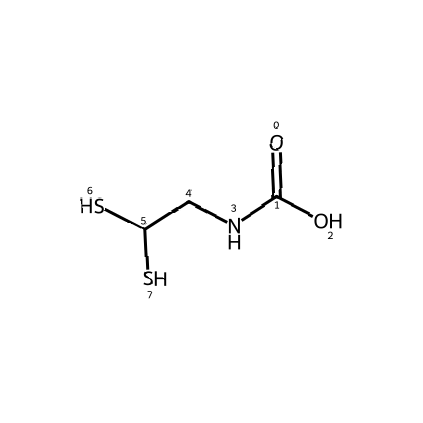 O=C(O)NCC(S)S